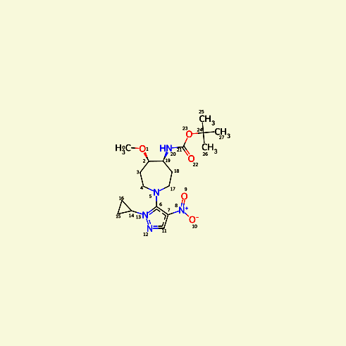 CO[C@@H]1CCN(c2c([N+](=O)[O-])cnn2C2CC2)CC[C@@H]1NC(=O)OC(C)(C)C